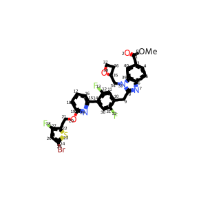 COC(=O)c1ccc2nc(Cc3cc(F)c(-c4cccc(OCc5sc(Br)cc5F)n4)cc3F)n(CC3CCO3)c2c1